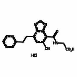 Cl.O=C(O)CNC(=O)c1c(O)cc(CCc2ccccc2)n2ncnc12